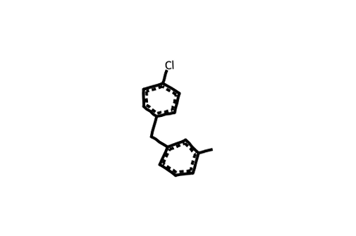 Cc1cccc(Cc2ccc(Cl)cc2)c1